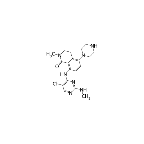 CNc1ncc(Cl)c(Nc2ccc(N3CCNCC3)c3c2C(=O)N(C)CC3)n1